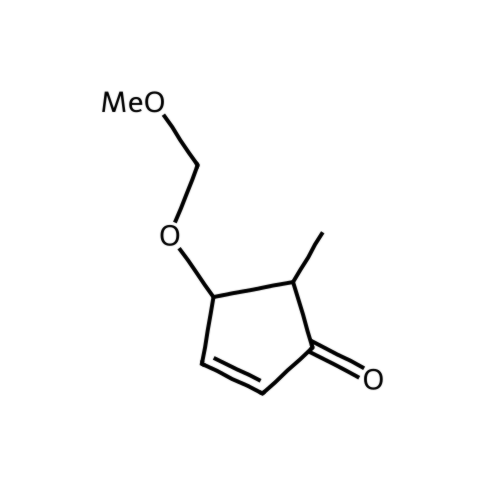 COCOC1C=CC(=O)C1C